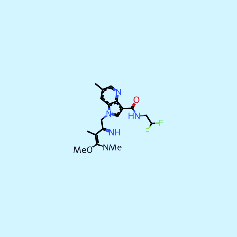 CN/C(OC)=C(/C)C(=N)Cn1cc(C(=O)NCC(F)F)c2ncc(C)cc21